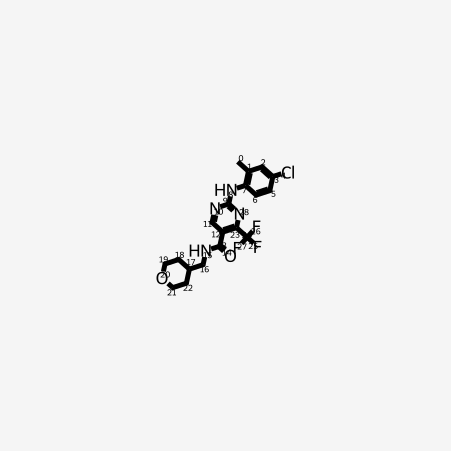 Cc1cc(Cl)ccc1Nc1ncc(C(=O)NCC2CCOCC2)c(C(F)(F)F)n1